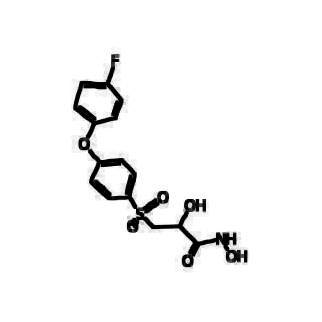 O=C(NO)C(O)CS(=O)(=O)c1ccc(Oc2ccc(F)cc2)cc1